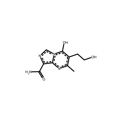 Cc1nc2c(C(N)=O)ncn2c(O)c1CCO